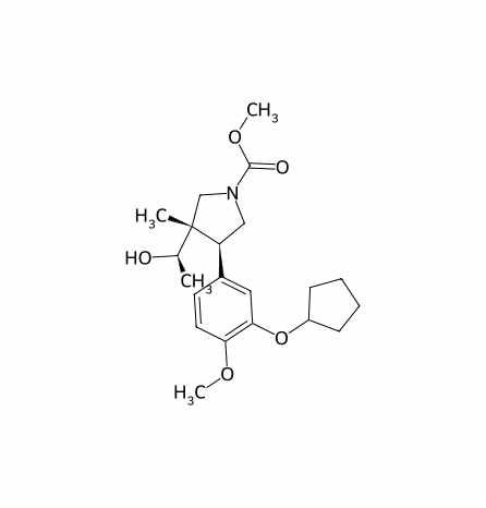 COC(=O)N1C[C@@H](c2ccc(OC)c(OC3CCCC3)c2)[C@](C)([C@@H](C)O)C1